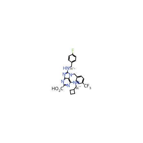 C[C@H](Nc1nc2nc(C(=O)O)nc(N[C@H](C)C3CCC3)c2n1Cc1ccc(C(F)(F)F)cc1)c1ccc(F)cc1